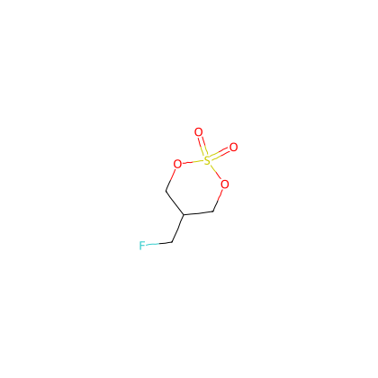 O=S1(=O)OCC(CF)CO1